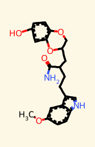 COc1ccc2[nH]cc(CCC(CC3COc4ccc(O)cc4O3)C(N)=O)c2c1